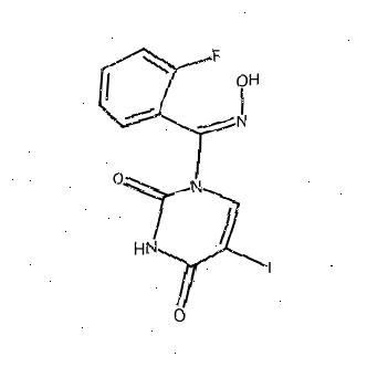 O=c1[nH]c(=O)n(/C(=N/O)c2ccccc2F)cc1I